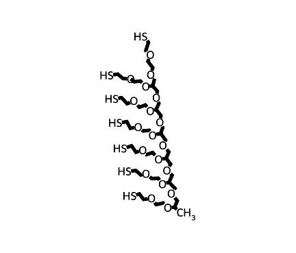 CC(COCC(COCC(COCC(COCC(COCC(COCCOCCS)OCCOCCS)OCCOCCS)OCCOCCS)OCCOCCS)OCCOCCS)OCCOCCS